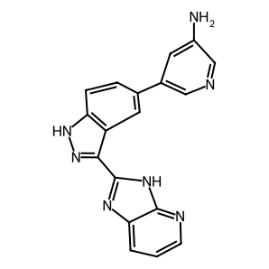 Nc1cncc(-c2ccc3[nH]nc(-c4nc5cccnc5[nH]4)c3c2)c1